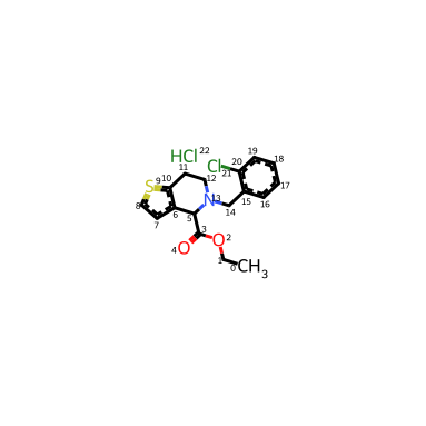 CCOC(=O)C1c2ccsc2CCN1Cc1ccccc1Cl.Cl